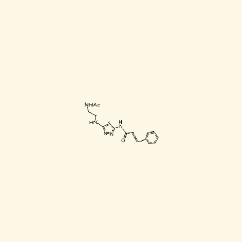 CC(=O)NCCNc1nnc(NC(=O)/C=C/c2ccccc2)s1